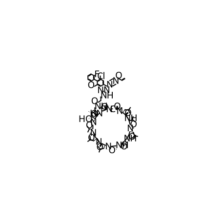 C=CC(=O)N1CCN(c2nc(NCCC(=O)NCC[C@@H](C)[C@@H](O)[C@H]3C(=O)N[C@@H](CC)C(=O)N(C)CC(=O)N(C)[C@@H](CC(C)C)C(=O)NC(C(C)C)C(=O)N(C)[C@@H](CC(C)C)C(=O)NC(C)C(=O)N[C@H](C)C(=O)N(C)[C@@H](CC(C)C)C(=O)N(C)[C@@H](CC(C)C)C(=O)N(C)[C@@H](C(C)C)C(=O)N3C)nc3c4c(c(Cl)cc23)-c2c(F)cccc2OC4)CC1